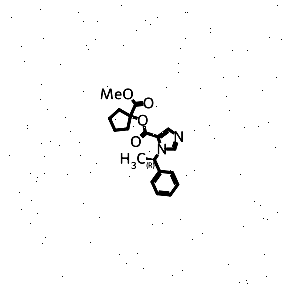 COC(=O)C1(OC(=O)c2cncn2[C@H](C)c2ccccc2)CCCC1